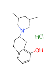 CC1CC(C)CN(C2CCc3cccc(O)c3C2)C1.Cl